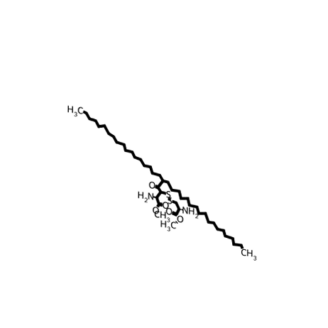 CCCCCCCCCCCCCCCCCCC(CCCCCCCCCCCCCCCCCC)C(=O)C(SSC[C@H](N)C(=O)OC)[C@H](N)C(=O)OC